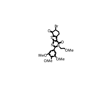 COCCn1c(-c2cc(OC)c(OC)c(OC)c2)nc2sc3c(c2c1=O)CCC(Br)C3=O